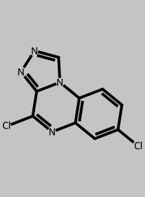 Clc1ccc2c(c1)nc(Cl)c1nncn12